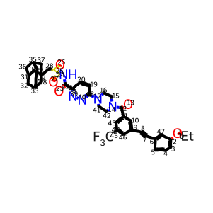 CCOc1cccc(C#Cc2cc(C(=O)N3CCN(c4ccc(C(=O)NS(=O)(=O)CC56CC7CC(CC(C7)C5)C6)nn4)CC3)cc(C(F)(F)F)c2)c1